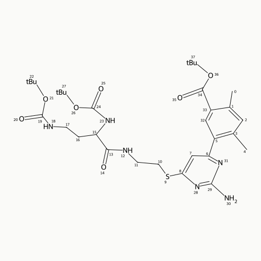 Cc1cc(C)c(-c2cc(SCCNC(=O)C(CCNC(=O)OC(C)(C)C)NC(=O)OC(C)(C)C)nc(N)n2)cc1C(=O)OC(C)(C)C